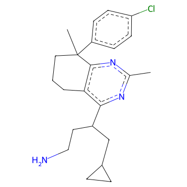 Cc1nc(C(CCN)CC2CC2)c2c(n1)C(C)(c1ccc(Cl)cc1)CCC2